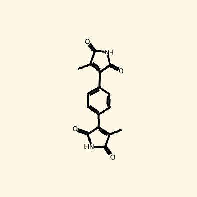 CC1=C(c2ccc(C3=C(C)C(=O)NC3=O)cc2)C(=O)NC1=O